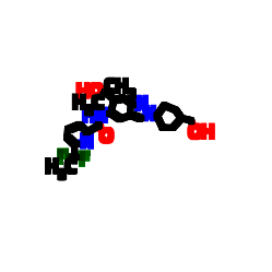 CC(C)(O)c1cc2nn(C3CCC(CO)CC3)cc2cc1NC(=O)c1cccc(C(C)(F)F)n1